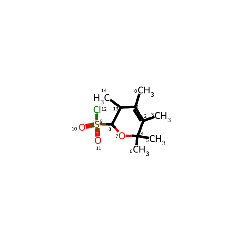 CC1=C(C)C(C)(C)OC(S(=O)(=O)Cl)C1C